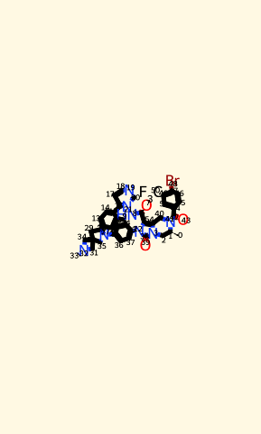 C[C@@H]1Cn2c(c(C(=O)NCc3ccccc3-c3ccncn3)n(-c3ccc(N4CCC5(CN(C)C5)C4)cc3)c2=O)CN1C(=O)c1ccc(Br)c(C(F)(F)F)c1